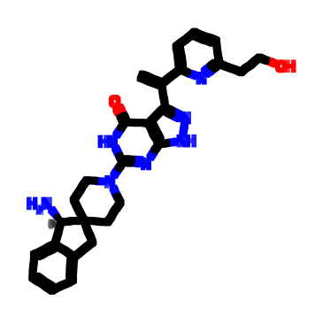 C=C(c1cccc(CCO)n1)c1n[nH]c2nc(N3CCC4(CC3)Cc3ccccc3[C@H]4N)[nH]c(=O)c12